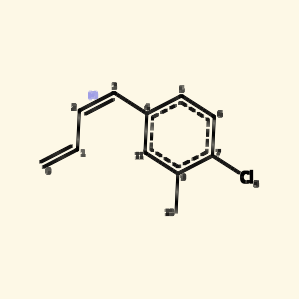 C=C/C=C\c1ccc(Cl)c(C)c1